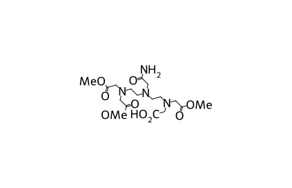 COC(=O)CN(CCN(CCN(CC(=O)OC)CC(=O)OC)CC(N)=O)CC(=O)O